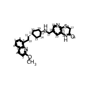 COc1ccc2cccc(CC[C@H]3CC[C@H](NCc4cnc5c(c4)NC(=O)CS5)CC3)c2n1